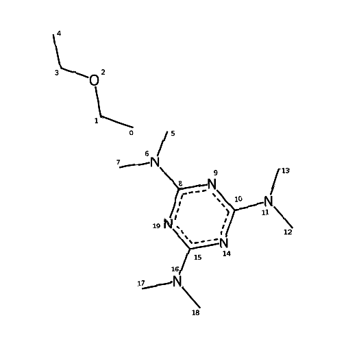 CCOCC.CN(C)c1nc(N(C)C)nc(N(C)C)n1